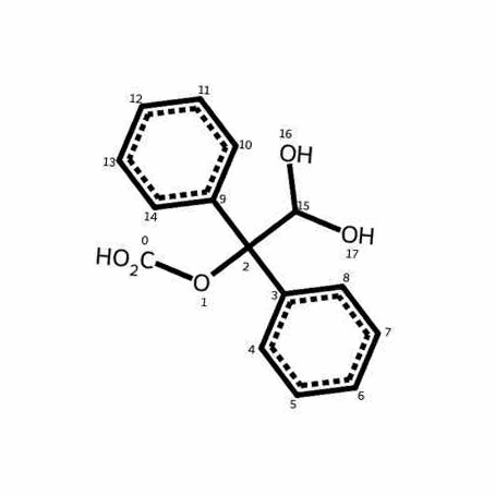 O=C(O)OC(c1ccccc1)(c1ccccc1)C(O)O